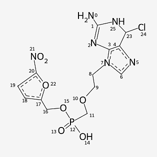 NC1=Nc2c(ncn2CCOCP(=O)(O)OCc2ccc([N+](=O)[O-])o2)C(Cl)N1